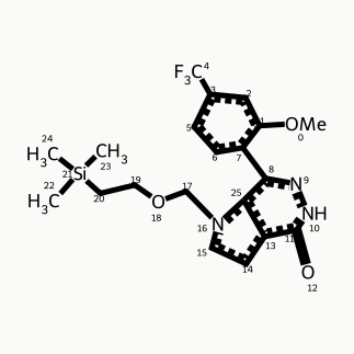 COc1cc(C(F)(F)F)ccc1-c1n[nH]c(=O)c2ccn(COCC[Si](C)(C)C)c12